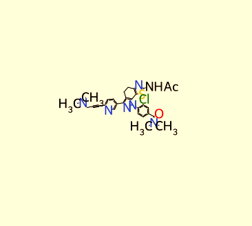 CC(=O)Nc1nc2c(s1)-c1c(c(-c3ccc(C#CCN(C)C)nc3)nn1-c1ccc(C(=O)N(C)C)cc1Cl)CC2